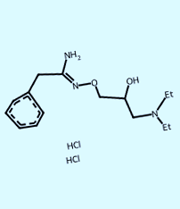 CCN(CC)CC(O)CON=C(N)Cc1ccccc1.Cl.Cl